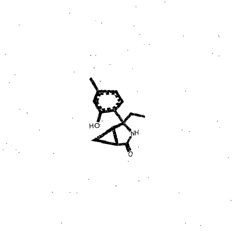 CCC1(c2ccc(C)cc2O)NC(=O)C2CC21